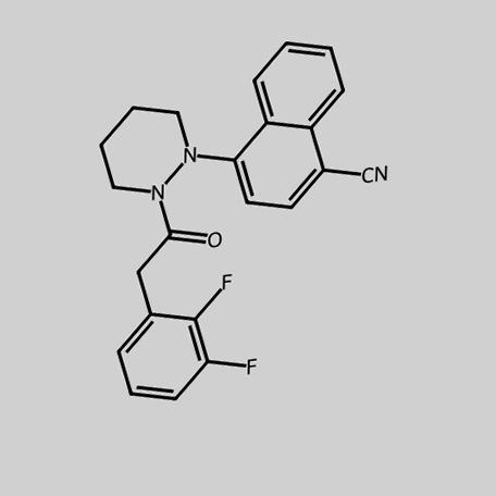 N#Cc1ccc(N2CCCCN2C(=O)Cc2cccc(F)c2F)c2ccccc12